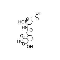 O=C(O)C[C@@H]1CC[C@H](NC(=O)CC2=CCCC(C(=O)O)=C2C(=O)O)B(O)O1